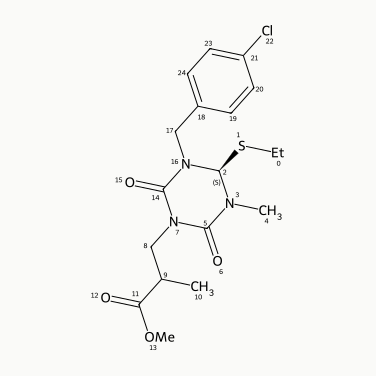 CCS[C@H]1N(C)C(=O)N(CC(C)C(=O)OC)C(=O)N1Cc1ccc(Cl)cc1